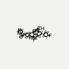 COc1cc(-c2ccc(F)cc2)cc(C)c1C1C(=O)CC2(CCN(C(=O)c3ccncn3)CC2)CC1=O